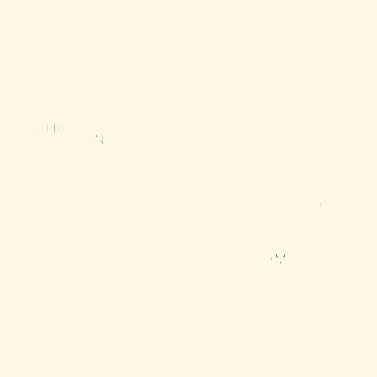 COc1cc(C2CCN(C=O)CC2)ccc1C(F)(F)F